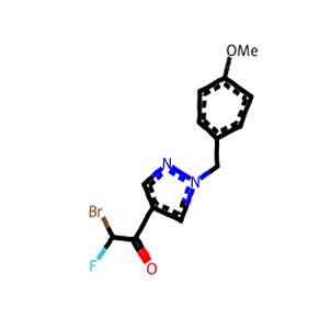 COc1ccc(Cn2cc(C(=O)C(F)Br)cn2)cc1